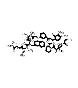 C=CC(=O)OCC(C)(C)C(=O)C(=O)N1CCCC[C@H]1C(=O)O[C@H](CCc1ccc(OC)c(OC)c1F)c1cccc(OCC(=O)N(C)[C@@H](CCCC)C(=O)N[C@@H](Cc2ccc3ccccc3c2)C(=O)N(C)[C@@H](COC(C)(C)C)C(=O)NCC(=O)N(C)CCC)c1